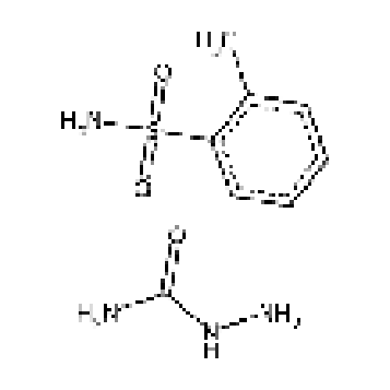 Cc1ccccc1S(N)(=O)=O.NNC(N)=O